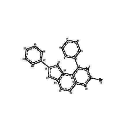 Brc1nc(-c2ccccc2)c2c(ccc3cc(-c4ccccc4)sc32)n1